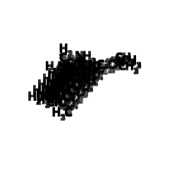 CC(CC(CC(CC(CC(CC(CC(CC(C)C(N)=O)C(N)=O)C(=O)NCNC(=O)C(CC(C)c1ccc([N+](C)(C)C)cc1)CC(CC(CC(CC(CC(CC(C)c1ccc([N+](C)(C)C)cc1)c1ccc([N+](C)(C)C)cc1)c1ccc([N+](C)(C)C)cc1)c1ccc([N+](C)(C)C)cc1)c1ccc([N+](C)(C)C)cc1)c1ccc([N+](C)(C)C)cc1)C(N)=O)C(N)=O)C(N)=O)C(N)=O)C(N)=O